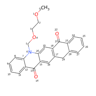 COCCOCn1c2ccccc2c(=O)c2cc3c(cc21)C(=O)c1ccccc1C3